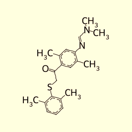 Cc1cc(C(=O)CSc2c(C)cccc2C)c(C)cc1N=CN(C)C